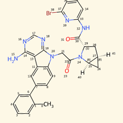 Cc1ccccc1-c1ccc2c(c1)c1c(N)ncnc1n2CC(=O)N1[C@@H]2C[C@@H]2C[C@H]1C(=O)Nc1cccc(Br)n1